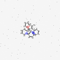 CC1=C(c2ccccn2)[B-](c2ccccn2)(c2ccccn2)[o+]2cccc21